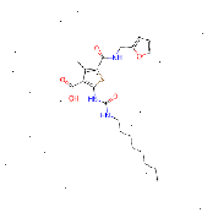 CCCCCCCCNC(=O)Nc1sc(C(=O)NCc2ccco2)c(C)c1C(=O)O